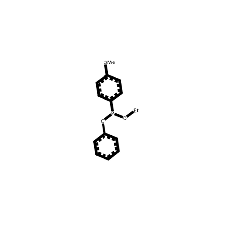 CCOP(Oc1ccccc1)c1ccc(OC)cc1